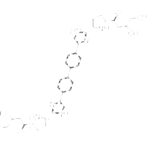 CCC(C)CC(=O)[C@@H]1CC[C@@H](c2nc(-c3ccc(-c4ccc(-c5c[nH]c([C@@H]6CC[C@@H](C(=O)CC(C)CC)N6)n5)cc4)cc3)c[nH]2)N1